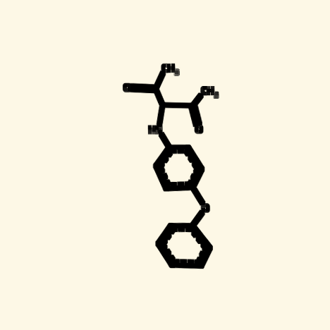 CC(=O)C(Nc1ccc(Oc2ccccc2)cc1)C(C)=O